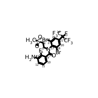 CS(=O)(=O)CCN(C(=O)c1cccc(N)c1F)c1c(Br)cc(C(F)(C(F)(F)F)C(F)(F)F)cc1Br